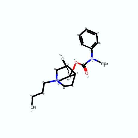 CCCCN(C(=O)O[C@H]1C[N+]2(CCCC#N)CCC1CC2)c1ccccc1